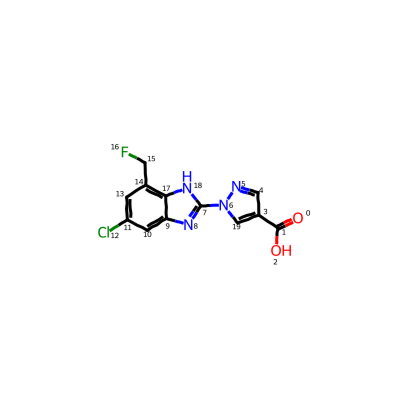 O=C(O)c1cnn(-c2nc3cc(Cl)cc(CF)c3[nH]2)c1